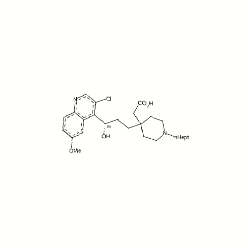 CCCCCCCN1CCC(CC[C@H](O)c2c(Cl)cnc3ccc(OC)cc23)(CC(=O)O)CC1